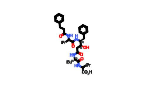 CC[C@H](C)[C@H](NC(=O)C[C@H](O)[C@H](Cc1ccccc1)NC(=O)C(NC(=O)CCc1ccccc1)C(C)C)C(=O)NC(C(=O)O)C(C)C